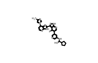 Cc1cn(-c2ccnc3[nH]c(-c4n[nH]c5ncc(-c6cncc(NC(O)C7CCCC7)c6)c(F)c45)nc23)cn1